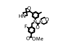 COC(=O)c1ccc(CN(C(=O)N2CCOCC2)c2cc(C)cc(C3OCC34CNC4)c2)c(F)c1